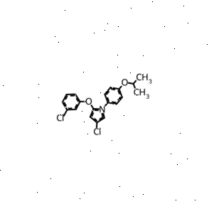 CC(C)Oc1ccc(-n2cc(Cl)cc2Oc2cccc(Cl)c2)cc1